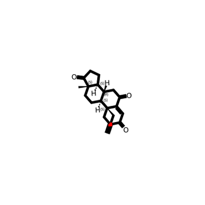 C#CC[C@]12CCC(=O)C=C1C(=O)C[C@@H]1[C@@H]2CC[C@]2(C)C(=O)CC[C@@H]12